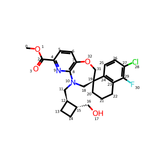 COC(=O)c1ccc2c(n1)N(C[C@@H]1CC[C@H]1CO)C[C@@]1(CCCc3c1ccc(Cl)c3F)CO2